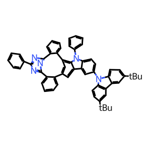 CC(C)(C)c1ccc2c(c1)c1cc(C(C)(C)C)ccc1n2-c1ccc2c(c1)c1cc3cc(c4ccccc4c4nc(-c5ccccc5)nc(n4)c4ccccc34)c1n2-c1ccccc1